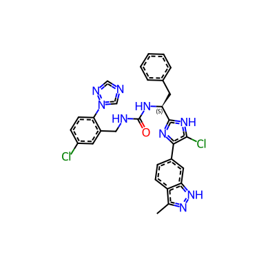 Cc1n[nH]c2cc(-c3nc([C@H](Cc4ccccc4)NC(=O)NCc4cc(Cl)ccc4-n4cncn4)[nH]c3Cl)ccc12